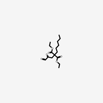 CCCCCCC(CC(=O)C=O)(C(=O)OCC)C(=O)OCC